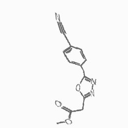 COC(=O)Cc1nnc(-c2ccc(C#N)cc2)o1